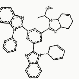 CCCCC(C)N1C(c2cc(-c3nc4ccccc4n3-c3ccccc3)cc(-c3nc4ccccc4n3C3C=CC=CC3)c2)=NC2CCC=CC21